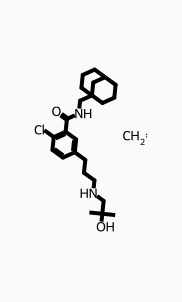 CC(C)(O)CNCCCc1ccc(Cl)c(C(=O)NCC23CCCC(CCC2)C3)c1.[CH2]